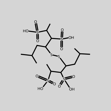 CC(C)CC(SSC(CC(C)C)C(C(C)S(=O)(=O)O)S(=O)(=O)O)C(C(C)S(=O)(=O)O)S(=O)(=O)O